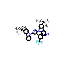 CC(C)(C)c1ccc2c(c1)c1ccccc1n2-c1cc(-c2cc(C#N)cc(C(F)(F)F)c2)c(-n2c3ccccc3c3cc(C(C)(C)C)ccc32)cn1